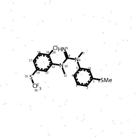 CSc1cccc(N(C)C(=N)N(C)c2cc(SC(F)(F)F)ccc2Cl)c1